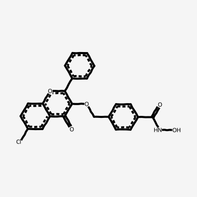 O=C(NO)c1ccc(COc2c(-c3ccccc3)oc3ccc(Cl)cc3c2=O)cc1